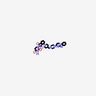 O=C1CCN(N2C(=O)c3cccc(N4CCC(CN5CCN(c6ccn7c(n6)nc6ccccc67)CC5)CC4)c3C2=O)C(=O)N1